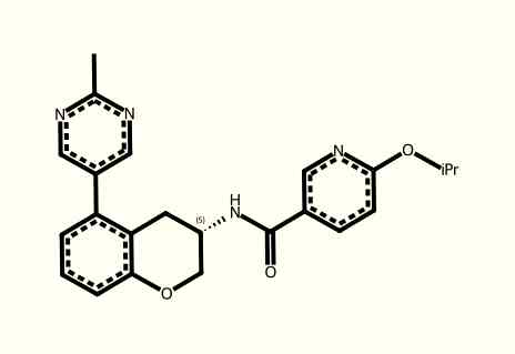 Cc1ncc(-c2cccc3c2C[C@H](NC(=O)c2ccc(OC(C)C)nc2)CO3)cn1